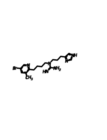 Cc1cc(Br)cnc1CCCCN(CCCc1c[nH]cn1)C(=N)N